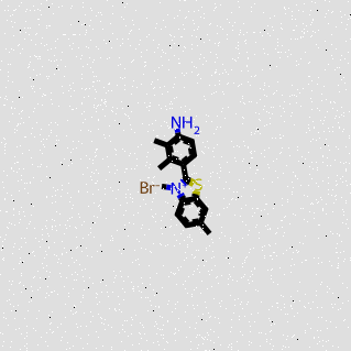 Cc1ccc2c(c1)sc(-c1ccc(N)c(C)c1C)[n+]2C.[Br-]